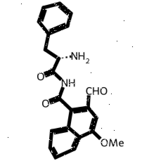 COc1cc(C=O)c(C(=O)NC(=O)[C@@H](N)Cc2ccccc2)c2ccccc12